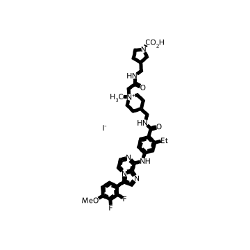 CCc1cc(Nc2nccn3c(-c4ccc(OC)c(F)c4F)cnc23)ccc1C(=O)NCC1CC[N+](C)(CC(=O)NCC2CCN(C(=O)O)C2)CC1.[I-]